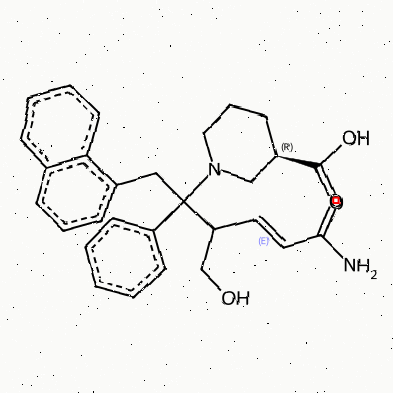 NC(=O)/C=C/C(CO)C(Cc1cccc2ccccc12)(c1ccccc1)N1CCC[C@@H](C(=O)O)C1